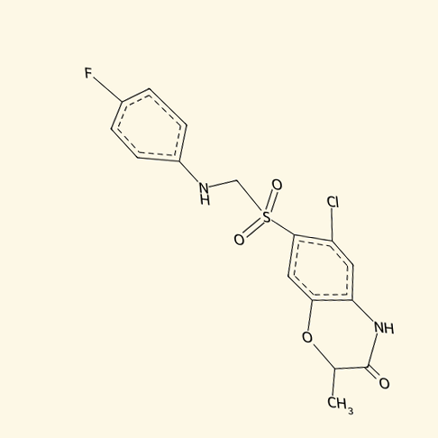 CC1Oc2cc(S(=O)(=O)CNc3ccc(F)cc3)c(Cl)cc2NC1=O